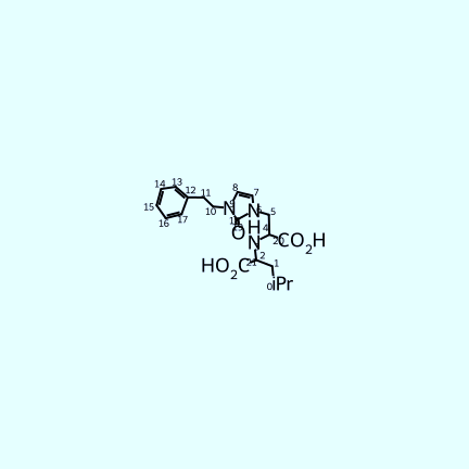 CC(C)CC(NC(Cn1ccn(CCc2ccccc2)c1=O)C(=O)O)C(=O)O